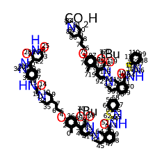 Cc1cc(OCCCC2CCN(CC(=O)Nc3ccc4c(C5CCC(=O)NC5=O)nn(C)c4c3)CC2)ccc1-c1ccc(N2CCc3cccc(C(=O)Nc4nc5ccccc5s4)c3C2)nc1C(=O)OC(C)(C)C.Cc1cc(OCCCC2CCN(CC(=O)O)CC2)ccc1-c1ccc(N2CCc3cccc(C(=O)Nc4nc5ccccc5s4)c3C2)nc1C(=O)OC(C)(C)C